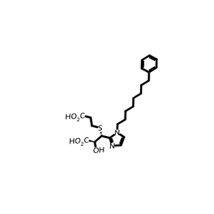 O=C(O)CCS[C@H](c1nccn1CCCCCCCCc1ccccc1)[C@@H](O)C(=O)O